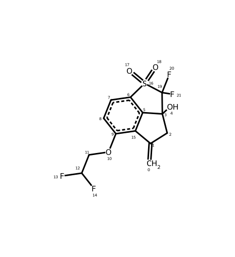 C=C1CC2(O)c3c(ccc(OCC(F)F)c31)S(=O)(=O)C2(F)F